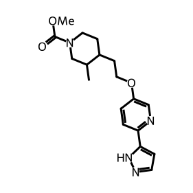 COC(=O)N1CCC(CCOc2ccc(-c3ccn[nH]3)nc2)C(C)C1